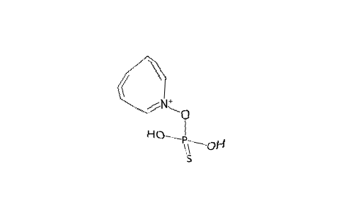 OP(O)(=S)O[n+]1ccccc1